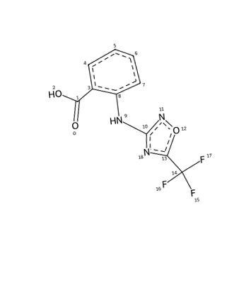 O=C(O)c1ccccc1Nc1noc(C(F)(F)F)n1